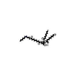 CCCCC/C=C\CCOC(=O)CCCCCCC(=O)OCC(CO)(COC(=O)CCCCCCC)COC(=O)CCCCCCC=O